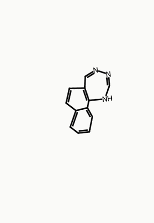 C1=NN=Cc2ccc3ccccc3c2N1